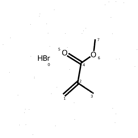 Br.C=C(C)C(=O)OC